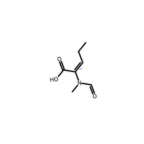 CC/C=C(\C(=O)O)N(C)C=O